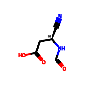 N#C[C@H](CC(=O)O)NC=O